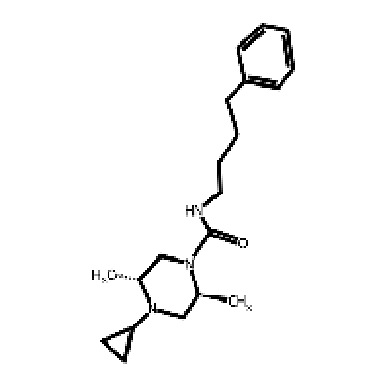 C[C@@H]1CN(C(=O)NCCCCc2ccccc2)[C@@H](C)CN1C1CC1